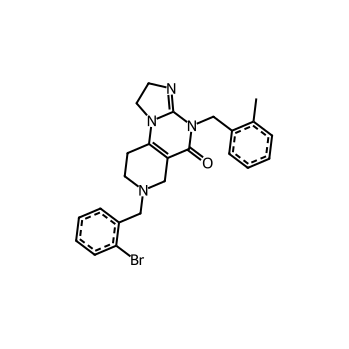 Cc1ccccc1CN1C(=O)C2=C(CCN(Cc3ccccc3Br)C2)N2CCN=C12